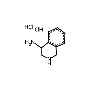 Cl.Cl.NC1CNCc2ccccc21